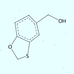 OCc1ccc2c(c1)SCO2